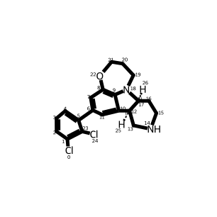 Clc1cccc(-c2cc3c4c(c2)[C@@H]2CNCC[C@@H]2N4CCCO3)c1Cl